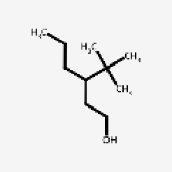 CCCC(CCO)C(C)(C)C